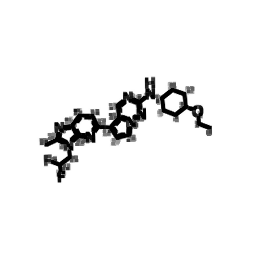 CCO[C@H]1CC[C@H](Nc2ncc3c(-c4ccc5nc(C)n(CC(F)F)c5n4)ccn3n2)CC1